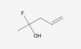 C=CCC(C)(O)F